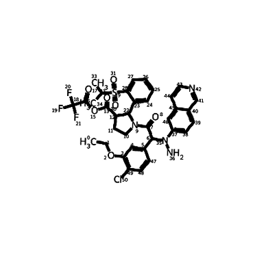 CCOc1cc(C(C(=O)N2CCC(C(=O)OC(=O)C(F)(F)F)C2c2ccccc2S(=O)(=O)C(C)C)N(N)c2ccc3cnccc3c2)ccc1Cl